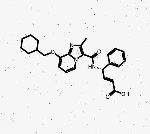 Cc1nc2c(OCC3CCCCC3)cccn2c1C(=O)N[C@@H](/C=C/C(=O)O)c1ccccc1